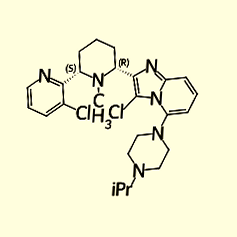 CC(C)N1CCN(c2cccc3nc([C@H]4CCC[C@@H](c5ncccc5Cl)N4C)c(Cl)n23)CC1